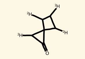 [2H]C1C([2H])C2(C(=O)C2[2H])C1[2H]